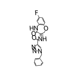 O=C(N[C@H]1COc2ccc(F)cc2NC1=O)c1cn(Cc2ccccc2)nn1